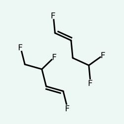 FC=CC(F)CF.FC=CCC(F)F